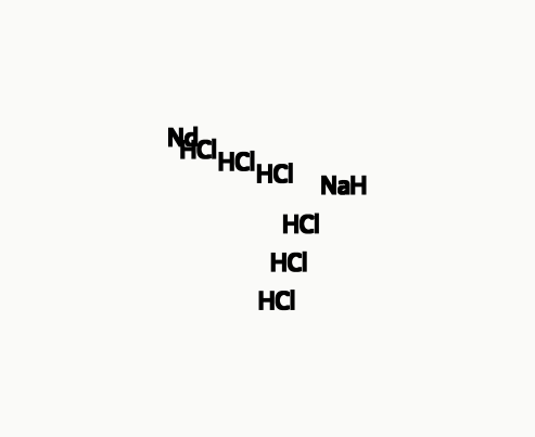 Cl.Cl.Cl.Cl.Cl.Cl.[NaH].[Nd]